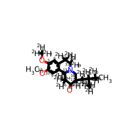 [2H]C([2H])([2H])Oc1cc2c(cc1OC)C1([2H])N(CC([2H])(C([2H])([2H])C([2H])(C([2H])([2H])[2H])C([2H])([2H])C)C(=O)C1([2H])[2H])C([2H])([2H])C2([2H])[2H]